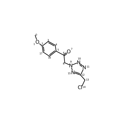 COc1ccc(C(=O)Cn2nnc(CCl)n2)cc1